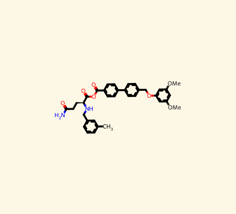 COc1cc(OC)cc(OCc2ccc(-c3ccc(C(=O)OC(=O)[C@H](CCC(N)=O)NCc4cccc(C)c4)cc3)cc2)c1